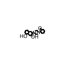 COc1ccccc1N1CCN([C@@H]2Cc3cccc(O)c3C[C@H]2O)CC1